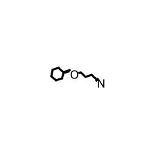 N#CCCCOC=C1CCCCC1